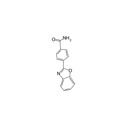 NC(=O)c1ccc(-c2nc3ccccc3o2)cc1